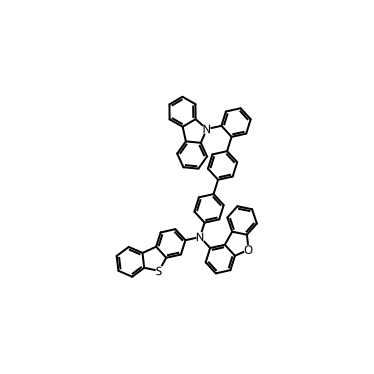 c1ccc(-n2c3ccccc3c3ccccc32)c(-c2ccc(-c3ccc(N(c4ccc5c(c4)sc4ccccc45)c4cccc5oc6ccccc6c45)cc3)cc2)c1